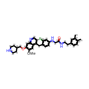 COc1cc2c(Cc3ccc(NCC(=O)NCCc4ccc(C)c(C)c4)cc3F)ccnc2cc1OCC1CCNCC1